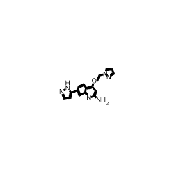 Nc1cc(OCCn2cccn2)c2ccc(-c3ccn[nH]3)cc2n1